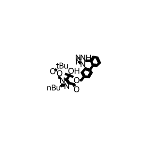 CCCCc1nc(C(=O)OCc2ccc(-c3ccccc3-c3nnn[nH]3)cc2)c(C(C)(C)O)n1COC(=O)C(C)(C)C